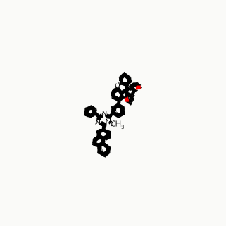 CN1C(c2ccc3c(ccc4ccccc43)c2)=NC(c2ccccc2)=NC1c1cccc(-c2ccc3c(c2)C2(c4ccccc4O3)c3ccccc3-c3ccccc32)c1